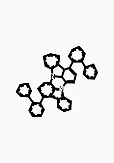 C1=C(c2ccccc2-c2ccccc2)C2c3ccccc3N3c4ccc(-c5ccccc5-c5ccccc5)c5c6ccccc6n(c45)C(=C1)C23